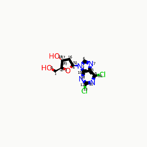 OC[C@@H]1O[C@H](n2cnc3c(Cl)nc(Cl)nc32)C[C@H]1O